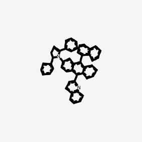 C1=C(c2ccccc2)N(c2ccc3c(-c4ccc5ccccc5n4)c4ccccc4c(-c4cccc5ccccc45)c3c2)C(c2ccccc2)C1